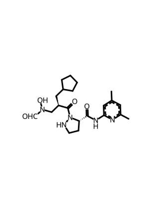 Cc1cc(C)nc(NC(=O)[C@@H]2CCNN2C(=O)[C@H](CC2CCCC2)CN(O)C=O)c1